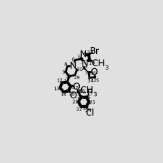 Cc1c(Br)nc(CN2CCC(c3cccc4c3O[C@@](C)(c3ccc(Cl)cc3F)O4)CC2)n1C[C@@H]1CCO1